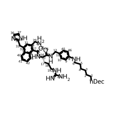 CCCCCCCCCCCCCCCCNc1ccc(CNC(=O)[C@H](CCCNC(=N)N)NC(=O)c2c(CN)cc(Cc3ncc[nH]3)c3ccccc23)cc1